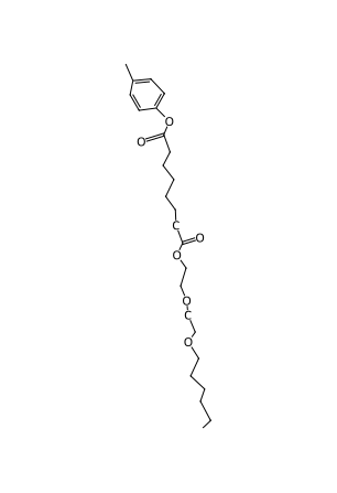 CCCCCCOCCOCCOC(=O)CCCCCCC(=O)Oc1ccc(C)cc1